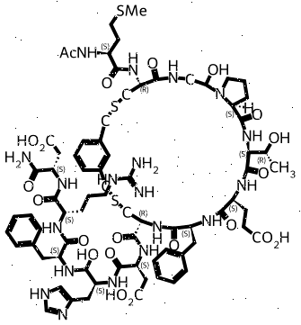 CSCC[C@H](NC(C)=O)C(=O)N[C@H]1CSCc2cccc(c2)CSC[C@@H](C(=O)N[C@@H](CC(=O)O)C(=O)N[C@@H](Cc2c[nH]cn2)C(O)N[C@@H](Cc2ccccc2)C(=O)N[C@@H](CCCNC(=N)N)C(=O)N[C@@H](CC(=O)O)C(N)=O)NC(=O)[C@H](Cc2ccccc2)NC(=O)[C@H](CCC(=O)O)NC(=O)[C@H]([C@@H](C)O)NC(=O)[C@@H]2CCCN2C(O)CNC1=O